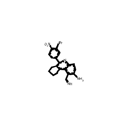 CC(C)c1cc(-c2nc3ccc(N)c(C=N)c3c3c2CCCC3)ccc1[N+](=O)[O-]